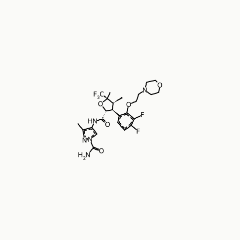 Cc1nn(C(N)=O)cc1NC(=O)[C@@H]1O[C@@](C)(C(F)(F)F)[C@@H](C)[C@H]1c1ccc(F)c(F)c1OCCN1CCOCC1